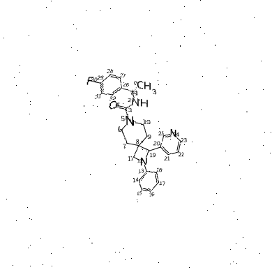 C[C@H](NC(=O)N1CCC2(CC1)CN(c1ccccc1)C2c1cccnc1)c1ccc(F)cc1